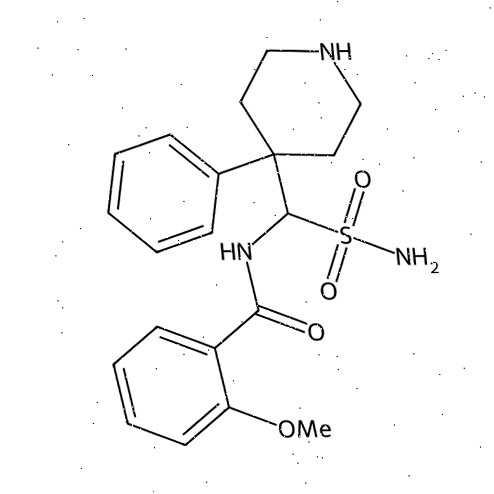 COc1ccccc1C(=O)NC(C1(c2ccccc2)CCNCC1)S(N)(=O)=O